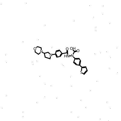 O=C(NN(C(=O)O)c1ccc(-c2cccs2)cc1)c1ccc(N2CCC(N3CCOCC3)C2)cc1